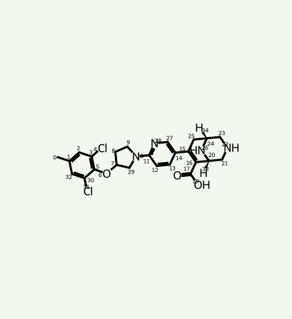 Cc1cc(Cl)c(OC2CCN(c3ccc(C4=C(C(=O)O)[C@H]5CNC[C@@H](C4)N5)cn3)C2)c(Cl)c1